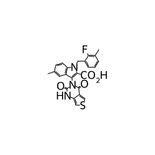 Cc1ccc2c(c1)c(-n1c(=O)[nH]c3cscc3c1=O)c(C(=O)O)n2Cc1cccc(C)c1F